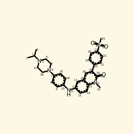 CC(C)N1CCN(c2ccc(Nc3ccc4c(c3)cc(-c3ccc(S(C)(=O)=O)cc3)c(=O)n4C)cc2)CC1